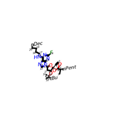 C#C[C@]1(OC(=O)C(C)CCCCC)O[C@@H](n2cnc3c(NCCCCCCCCCCCCCC)nc(F)nc32)C[C@@H]1O[Si](C)(C)C(C)(C)C